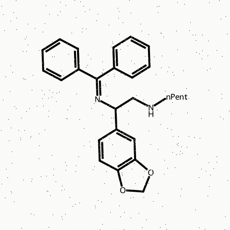 CCCCCNCC(N=C(c1ccccc1)c1ccccc1)c1ccc2c(c1)OCO2